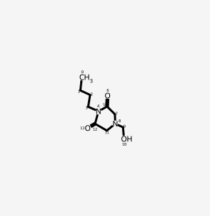 CCCCN1C(=O)CN(CO)CC1=O